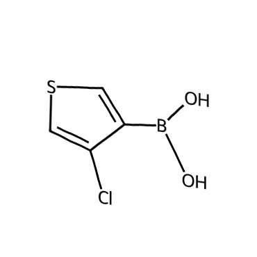 OB(O)c1cscc1Cl